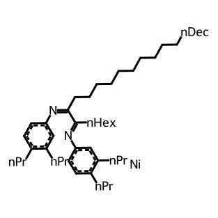 CCCCCCCCCCCCCCCCCCCCC(=Nc1ccc(CCC)c(CCC)c1)C(CCCCCC)=Nc1ccc(CCC)c(CCC)c1.[Ni]